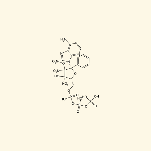 Nc1ncnc2c1ncn2[C@]1(c2ccccc2)O[C@H](COP(=O)(O)OP(=O)(O)OP(=O)(O)O)[C@](O)([N+](=O)[O-])[C@]1(O[N+](=O)[O-])[N+](=O)[O-]